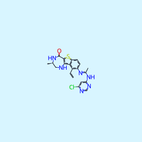 C=Cc1c(/N=C(\C)Nc2cc(Cl)ncn2)ccc2sc3c(c12)NC[C@@H](C)NC3=O